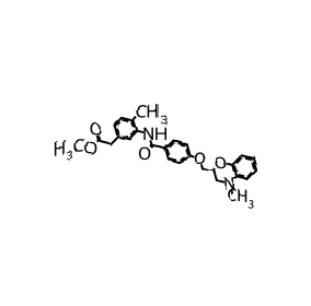 COC(=O)Cc1ccc(C)c(NC(=O)c2ccc(OC[C@@H]3CN(C)c4ccccc4O3)cc2)c1